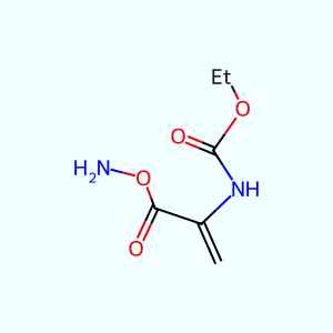 C=C(NC(=O)OCC)C(=O)ON